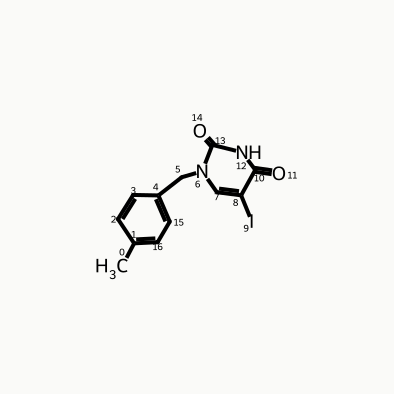 Cc1ccc(Cn2cc(I)c(=O)[nH]c2=O)cc1